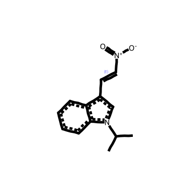 CC(C)n1cc(/C=C/[N+](=O)[O-])c2ccccc21